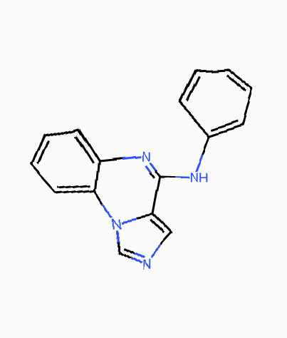 c1ccc(Nc2nc3ccccc3n3cncc23)cc1